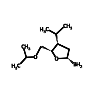 B[C@H]1C[C@@H](C(C)C)[C@@H](COC(C)C)O1